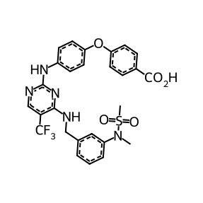 CN(c1cccc(CNc2nc(Nc3ccc(Oc4ccc(C(=O)O)cc4)cc3)ncc2C(F)(F)F)c1)S(C)(=O)=O